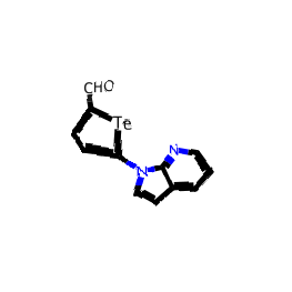 O=Cc1ccc(-n2ccc3cccnc32)[te]1